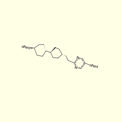 CCCCCc1cnc(CC[C@H]2CC[C@H]([C@H]3CC[C@H](CCCCC)CC3)CC2)nc1